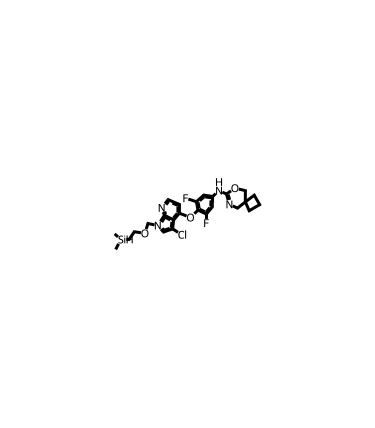 C[SiH](C)CCOCn1cc(Cl)c2c(Oc3c(F)cc(NC4=NCC5(CCC5)CO4)cc3F)ccnc21